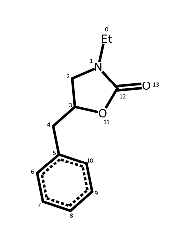 CCN1CC(Cc2ccccc2)OC1=O